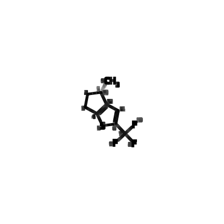 C[C@H]1CCc2sc(C(F)(F)F)cc21